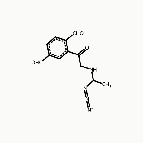 CC(N=[N+]=[N-])NCC(=O)c1cc(C=O)ccc1C=O